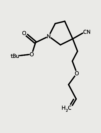 C=CCOCCC1(C#N)CCN(C(=O)OC(C)(C)C)C1